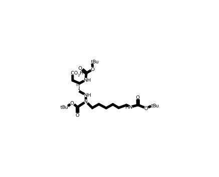 CC(C)(C)OC(=O)NCCCCCCN(NC[C@H](CC(=O)O)NC(=O)OC(C)(C)C)C(=O)OC(C)(C)C